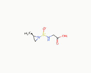 C[C@@H]1CN1[S+]([O-])NCC(=O)O